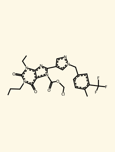 CCCn1c(=O)c2c(nc(-c3cnn(Cc4ccc(C)c(C(F)(F)F)c4)c3)n2C(=O)OCCl)n(CC)c1=O